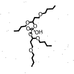 CCCCOCCC(OCCCC)OP(=O)(O)OC(CCOCCCC)OCCCC